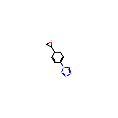 C1=CC(C2CO2)CC=C1n1cnnn1